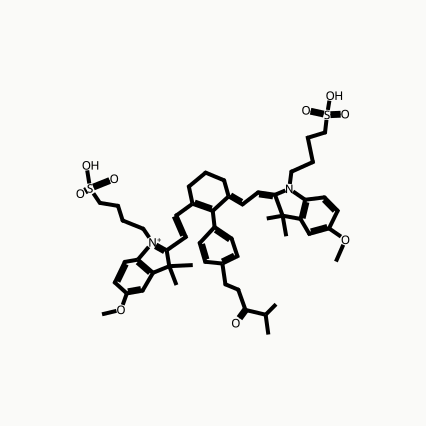 COc1ccc2c(c1)C(C)(C)C(/C=C/C1=C(c3ccc(CCC(=O)C(C)C)cc3)C(=C/C=C3/N(CCCCS(=O)(=O)O)c4ccc(OC)cc4C3(C)C)/CCC1)=[N+]2CCCCS(=O)(=O)O